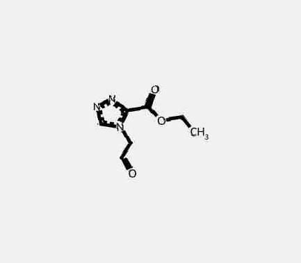 CCOC(=O)c1nn[c]n1CC=O